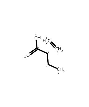 C=C.CCCC(=O)O